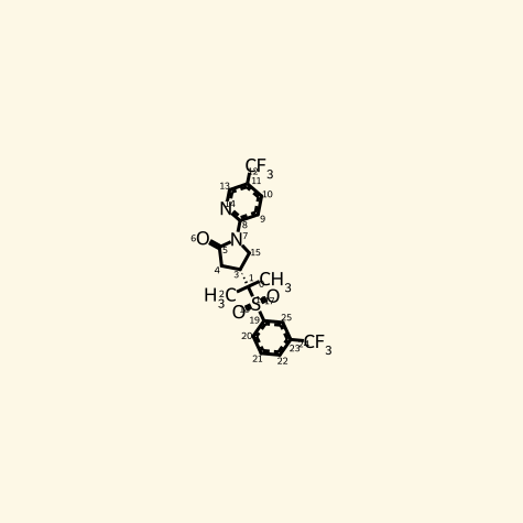 CC(C)([C@@H]1CC(=O)N(c2ccc(C(F)(F)F)cn2)C1)S(=O)(=O)c1cccc(C(F)(F)F)c1